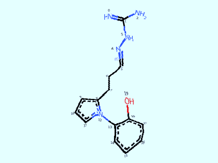 N=C(N)N/N=C/CCc1cccn1-c1ccccc1O